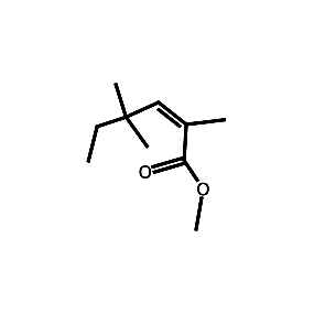 CCC(C)(C)C=C(C)C(=O)OC